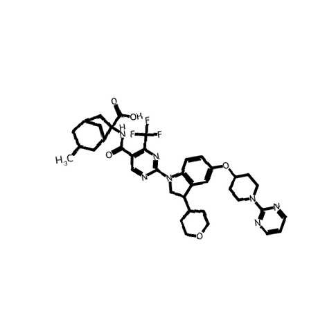 CC1CC2CC(C1)C(NC(=O)c1cnc(N3CC(C4CCOCC4)c4cc(OC5CCN(c6ncccn6)CC5)ccc43)nc1C(F)(F)F)(C(=O)O)C2